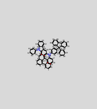 c1ccc(-c2cccc3cccc(-c4ccccc4N(c4ccc(C5(c6ccccc6)c6ccccc6-c6ccccc65)cc4)c4ccc5c(c4)c4ccccc4n5-c4ccccc4)c23)cc1